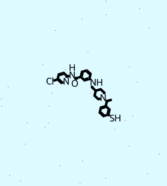 CC(c1cccc(S)c1)N1CCC(CNc2cccc(C(=O)Nc3ccc(Cl)cn3)c2)CC1